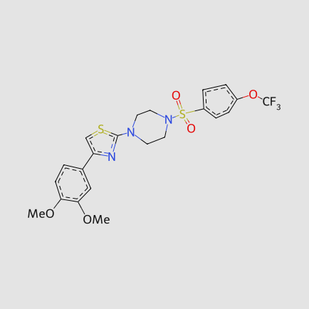 COc1ccc(-c2csc(N3CCN(S(=O)(=O)c4ccc(OC(F)(F)F)cc4)CC3)n2)cc1OC